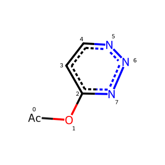 CC(=O)Oc1ccnnn1